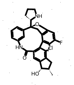 C[C@H]1Cc2c(cc3c(c2F)-c2c(Cl)c(F)cc4c2C[C@]([C@@H]2CCCN2)(O4)c2cccc(c2)NC3=O)[C@H]1O